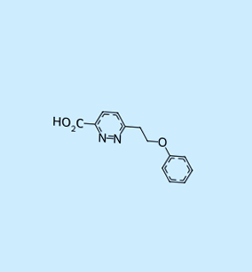 O=C(O)c1ccc(CCOc2ccccc2)nn1